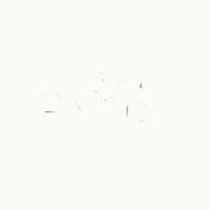 Cc1cc(C(F)(F)F)cc2c3nn(OC(=O)c4ccccc4)c(=O)c-3c[nH]c12